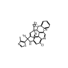 [2H]C(Nc1cc(Cl)c2ncc(C#N)c(N[C@H](CC)c3ccccc3)c2c1)(c1cn(C2CC2)nn1)c1scnc1C